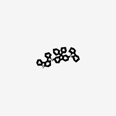 c1ccc(C2(c3ccccc3)c3cc(-n4c5ccccc5c5ccccc54)ccc3-c3ccc(-n4c5ccccc5c5c6c(ccc54)sc4ccccc46)cc32)cc1